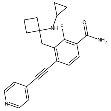 NC(=O)c1ccc(C#Cc2ccncc2)c(CC2(NC3CC3)CCC2)c1F